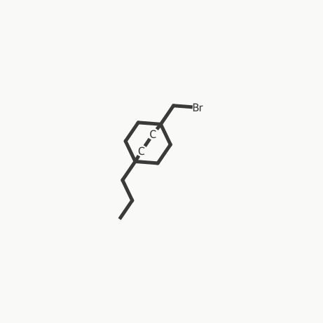 CCCC12CCC(CBr)(CC1)CC2